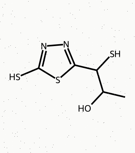 CC(O)C(S)c1nnc(S)s1